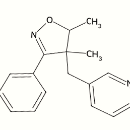 CC1ON=C(c2ccccc2)C1(C)Cc1cccnc1